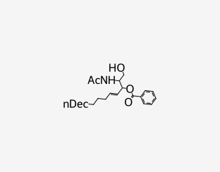 CCCCCCCCCCCCC/C=C/C(OC(=O)c1ccccc1)C(CO)NC(C)=O